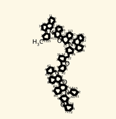 Cc1ccc(N(c2cc3ccccc3c3ccccc23)c2cc3oc4cc(N(c5ccc(Cc6cccc7c6oc6ccc(N(c8ccccc8)c8cc9oc%10cc(N(c%11ccccc%11)c%11ccc%12oc%13ccccc%13c%12c%11)c%11ccccc%11c%10c9c9ccccc89)cc67)cc5)c5cc6ccccc6c6ccccc56)c5ccccc5c4c3c3ccccc23)cc1